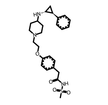 CS(=O)(=O)NC(=O)Cc1ccc(OCCN2CCC(N[C@@H]3C[C@H]3c3ccccc3)CC2)cc1